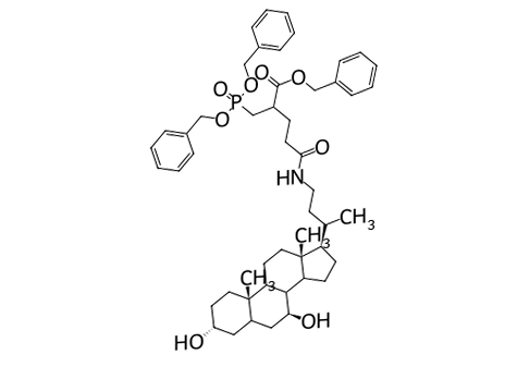 CC(CCNC(=O)CCC(CP(=O)(OCc1ccccc1)OCc1ccccc1)C(=O)OCc1ccccc1)[C@H]1CCC2C3C(CC[C@@]21C)[C@@]1(C)CC[C@@H](O)CC1C[C@@H]3O